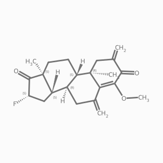 C=C1C[C@@]2(C)C(=C(OC)C1=O)C(=C)C[C@@H]1[C@@H]2CC[C@]2(C)C(=O)[C@@H](F)C[C@@H]12